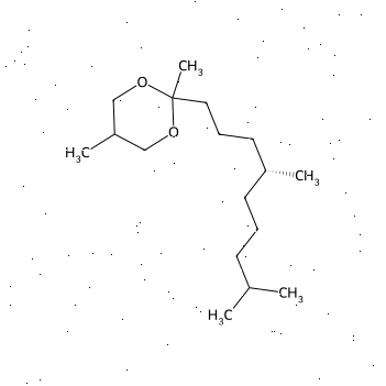 CC(C)CCC[C@@H](C)CCCC1(C)OCC(C)CO1